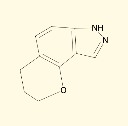 c1cc2[nH]ncc2c2c1CCCO2